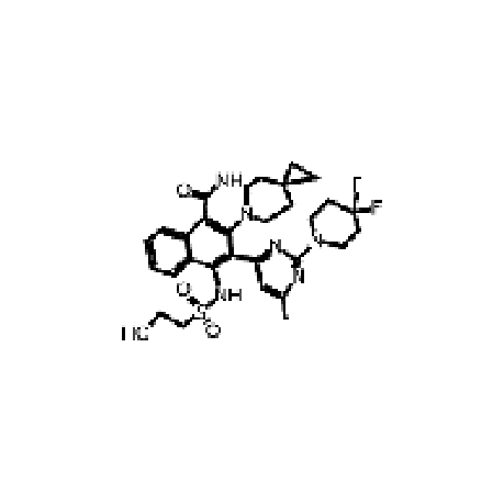 Cc1cc(-c2c(N3CCC4(CC3)CC4)c(C(N)=O)c3ccccc3c2NS(=O)(=O)CCO)nc(N2CCC(F)(F)CC2)n1